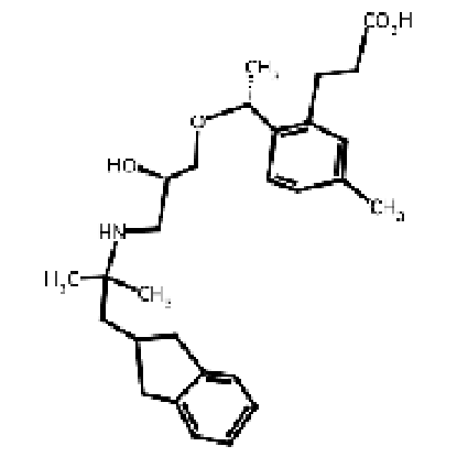 Cc1ccc([C@@H](C)OC[C@H](O)CNC(C)(C)CC2Cc3ccccc3C2)c(CCC(=O)O)c1